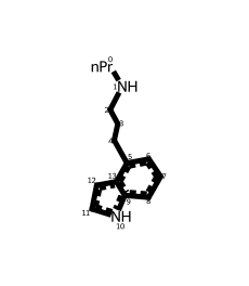 CCCNCCCc1cccc2[nH]ccc12